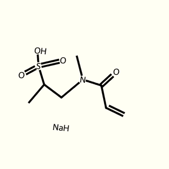 C=CC(=O)N(C)CC(C)S(=O)(=O)O.[NaH]